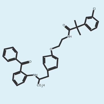 CC(C)(C(=O)NCCOc1ccc(CC(Nc2ccccc2C(=O)c2ccccc2)C(=O)O)cc1)c1cccc(Cl)c1